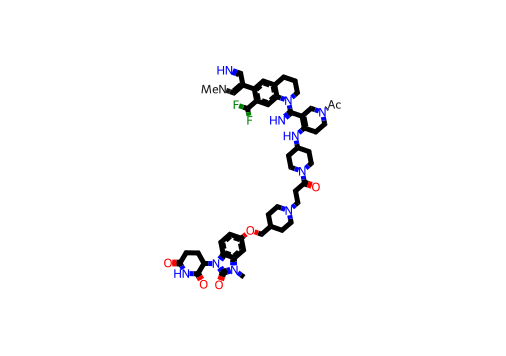 CN/C=C(\C=N)c1cc2c(cc1C(F)F)N(C(=N)C1=C(NC3CCN(C(=O)CCN4CCC(COc5ccc6c(c5)n(C)c(=O)n6C5CCC(=O)NC5=O)CC4)CC3)CCN(C(C)=O)C1)CCC2